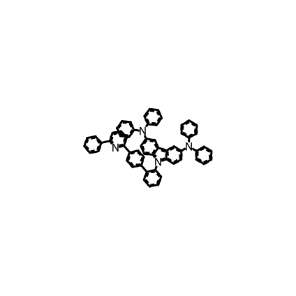 c1ccc(-c2cccc(-c3ccc(-c4ccccc4-n4c5ccc(N(c6ccccc6)c6ccccc6)cc5c5cc(N(c6ccccc6)c6ccccc6)ccc54)cc3)n2)cc1